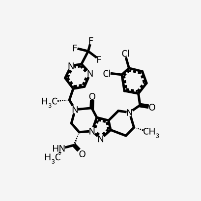 CNC(=O)[C@@H]1CN([C@H](C)c2cnc(C(F)(F)F)nc2)C(=O)c2c3c(nn21)C[C@@H](C)N(C(=O)c1ccc(Cl)c(Cl)c1)C3